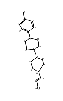 Cc1ccc(C2CCC([C@H]3CC[C@H](/C=C/Cl)CC3)CC2)cc1